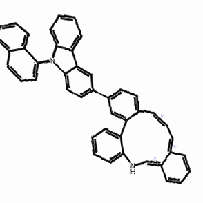 C1=C\c2ccc(-c3ccc4c(c3)c3ccccc3n4-c3cccc4ccccc34)cc2-c2ccccc2N\C=c2/cccc/c2=C/1